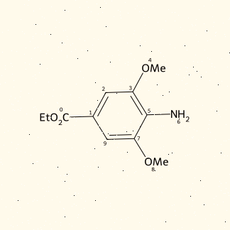 CCOC(=O)c1cc(OC)c(N)c(OC)c1